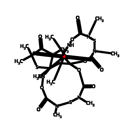 CN1SN(C)C(=O)OC2(CC3(NOC1=O)SC(C)(C)C(=O)N3C)OC(=O)N(C)SN(C)C(=O)ONC21SC(C)(C)C(=O)N1C